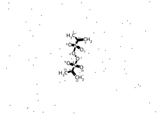 C=C(C)S(=O)(=O)OOS(=O)(=O)C(=C)C